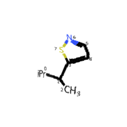 CC(C)C(C)c1ccns1